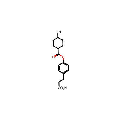 N#CC1CCC(C(=O)Oc2ccc(CCC(=O)O)cc2)CC1